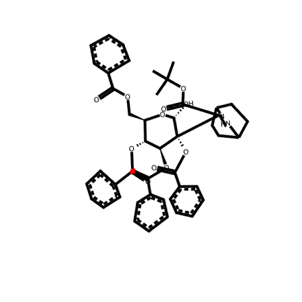 CC(C)(C)OC(=O)N1C2CCC(CC2)NCC1[C@]1(OC(=O)c2ccccc2)[C@@H](O)O[C@H](COC(=O)c2ccccc2)[C@@H](OC(=O)c2ccccc2)[C@@H]1OC(=O)c1ccccc1